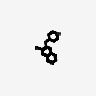 Brc1cc2cnccc2cc1SC1CCNCC1